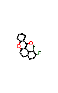 O=c1c2ccccc2oc2ccc3ccc(F)c(F)c3c12